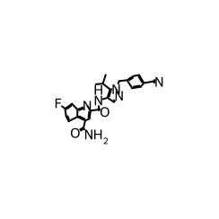 CC(C)c1c(NC(=O)c2cc(C(N)=O)c3ccc(F)cc3n2)cnn1Cc1ccc(C#N)cc1